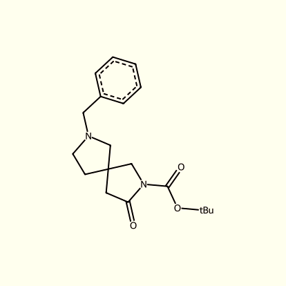 CC(C)(C)OC(=O)N1CC2(CCN(Cc3ccccc3)C2)CC1=O